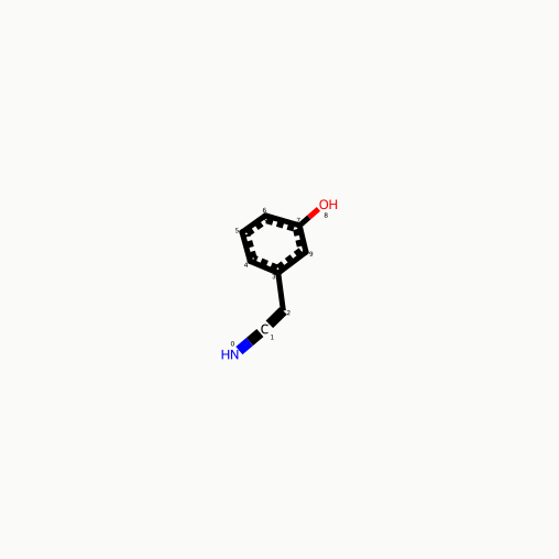 N=C=Cc1cccc(O)c1